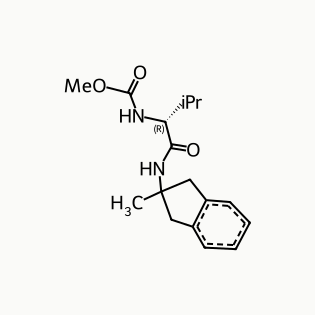 COC(=O)N[C@@H](C(=O)NC1(C)Cc2ccccc2C1)C(C)C